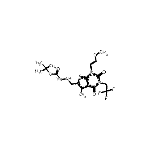 COCCn1c(=O)n(CC(F)(F)F)c(=O)c2c(C)c(CNNC(=O)OC(C)(C)C)sc21